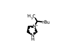 CCCCC(C)[n+]1cc[nH]c1